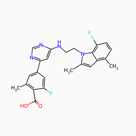 Cc1cc(-c2cc(NCCn3c(C)cc4c(C)ccc(F)c43)ncn2)cc(F)c1C(=O)O